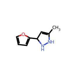 CC1=CC(c2ccco2)NN1